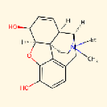 CC[N+]1(C)CC[C@]23c4c5ccc(O)c4O[C@H]2[C@@H](O)C=C[C@H]3[C@H]1C5